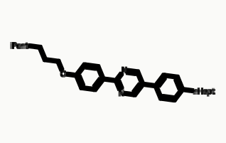 CCCCCCCc1ccc(-c2cnc(-c3ccc(OCCCC(C)CCC)cc3)nc2)cc1